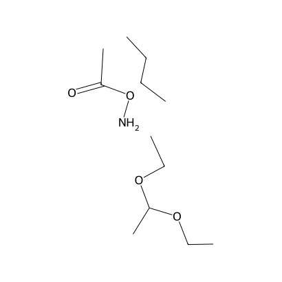 CC(=O)ON.CCCC.CCOC(C)OCC